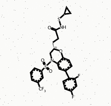 O=C(CC[C@H]1CN(S(=O)(=O)c2cccc(C(F)(F)F)c2)c2cc(-c3ccc(F)cc3F)ccc2O1)NSC1CC1